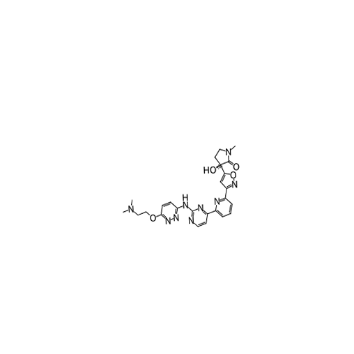 CN(C)CCOc1ccc(Nc2nccc(-c3cccc(-c4cc([C@]5(O)CCN(C)C5=O)on4)n3)n2)nn1